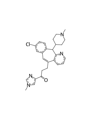 CN1CCC(C2c3ccc(Cl)cc3C=C(CCC(=O)c3cn(C)cn3)c3cccnc32)CC1